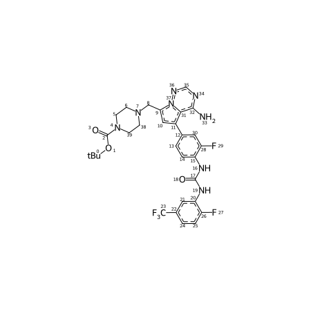 CC(C)(C)OC(=O)N1CCN(Cc2cc(-c3ccc(NC(=O)Nc4cc(C(F)(F)F)ccc4F)c(F)c3)c3c(N)ncnn23)CC1